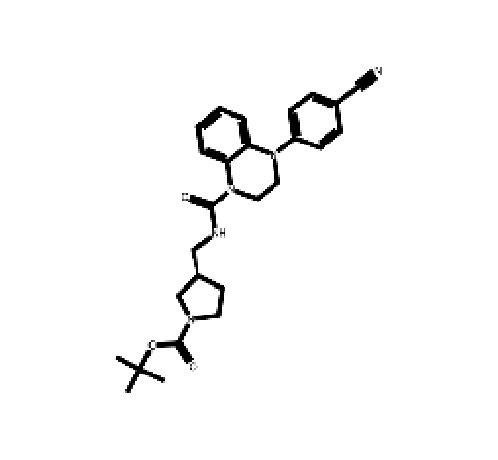 CC(C)(C)OC(=O)N1CC[C@H](CNC(=O)N2CCN(c3ccc(C#N)cc3)c3ccccc32)C1